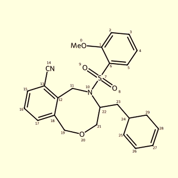 COc1ccccc1S(=O)(=O)N1Cc2c(C#N)cccc2COCC1CC1C=CC=CC1